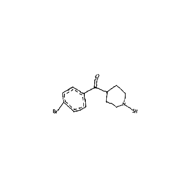 O=C(c1ccc(Br)cc1)C1CCN(S)CC1